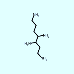 NCCCC(N)C(N)CCN